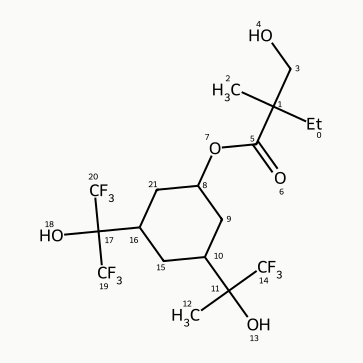 CCC(C)(CO)C(=O)OC1CC(C(C)(O)C(F)(F)F)CC(C(O)(C(F)(F)F)C(F)(F)F)C1